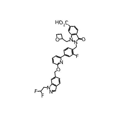 O=C(O)c1ccc2c(=O)n(Cc3ccc(-c4cccc(OCc5ccc6cnn(CC(F)F)c6c5)n4)cc3F)n(CC3CCO3)c2c1